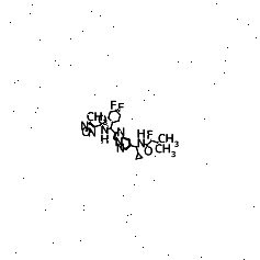 Cc1nonc1C(=O)N[C@H](c1cn2ncc([C@H](NC(=O)[C@H](F)C(C)C)C3CC3)cc2n1)C1CCC(F)(F)CC1